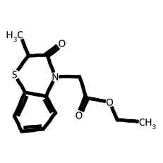 CCOC(=O)CN1C(=O)C(C)Sc2ccccc21